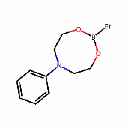 CCB1OCCN(c2ccccc2)CCO1